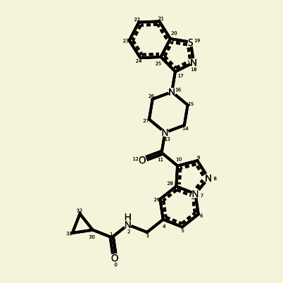 O=C(NCc1ccn2ncc(C(=O)N3CCN(c4nsc5ccccc45)CC3)c2c1)C1CC1